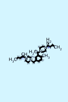 C=C/C=C(\N)N1CCN(C(=C)c2cc(CN3CCN(/C(C)=C/CC)CC3)ccc2C)CC1